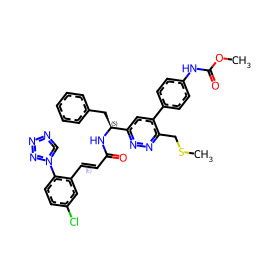 COC(=O)Nc1ccc(-c2cc([C@H](Cc3ccccc3)NC(=O)/C=C/c3cc(Cl)ccc3-n3cnnn3)nnc2CSC)cc1